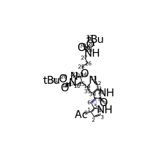 CC(=O)c1cc[nH]c1/C=C1\C(=O)Nc2cnc(-c3cn(C(=O)OC(C)(C)C)nc3OCCCNC(=O)OC(C)(C)C)cc21